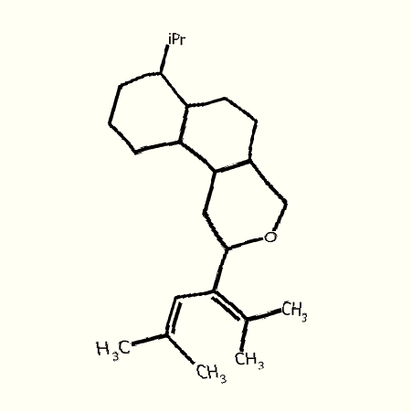 CC(C)=CC(=C(C)C)C1CC2C(CCC3C(C(C)C)CCCC23)CO1